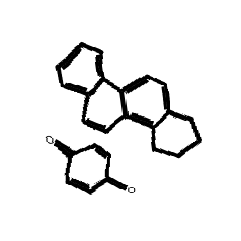 O=C1C=CC(=O)C=C1.c1ccc2c(c1)ccc1c3c(ccc12)CCCC3